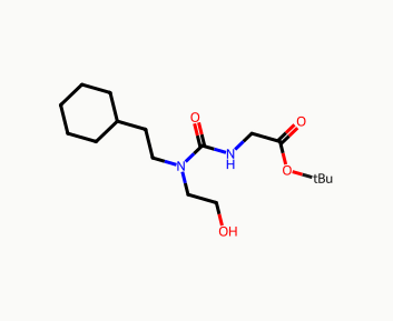 CC(C)(C)OC(=O)CNC(=O)N(CCO)CCC1CCCCC1